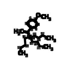 C=[C](c1ccc(OC)cc1)[Sn]([CH2]CCC)([CH2]CCC)[CH2]CCC